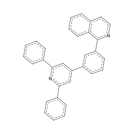 c1ccc(-c2cc(-c3cccc(-c4nccc5ccccc45)c3)cc(-c3ccccc3)n2)cc1